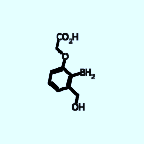 Bc1c(CO)cccc1OCC(=O)O